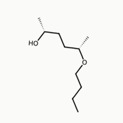 CCCCO[C@@H](C)CC[C@@H](C)O